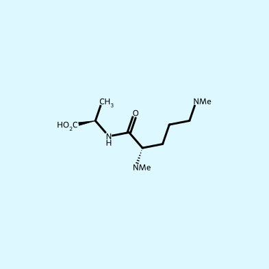 CNCCC[C@H](NC)C(=O)N[C@H](C)C(=O)O